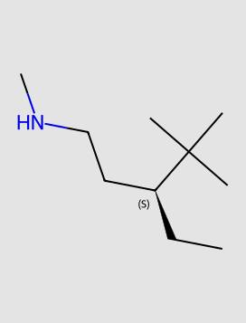 CC[C@@H](CCNC)C(C)(C)C